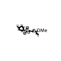 C=C[C@@H](OC)OCCOS(=O)(=O)c1ccc(C)cc1